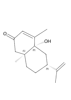 C=C(C)[C@@H]1CC[C@@]2(C)CC(=O)C=C(C)[C@@]2(O)C1